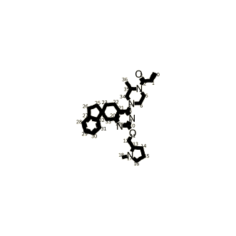 C=CC(=O)N1CCN(c2nc(OCC3CCCN3C)nc3c2CCC2(CCc4ccccc42)C3)CC1C